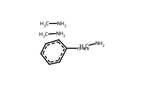 CCCCCCc1ccccc1.CN.CN.CN